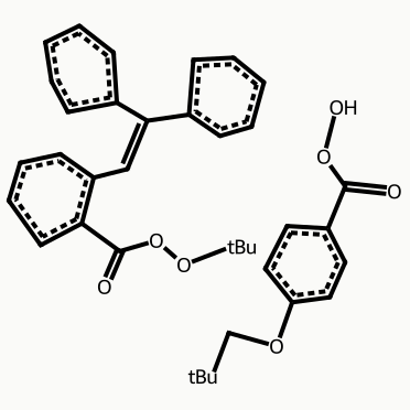 CC(C)(C)COc1ccc(C(=O)OO)cc1.CC(C)(C)OOC(=O)c1ccccc1C=C(c1ccccc1)c1ccccc1